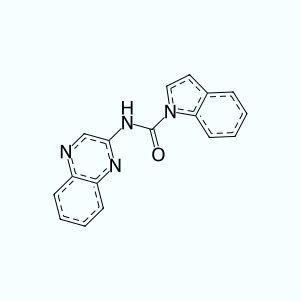 O=C(Nc1cnc2ccccc2n1)n1ccc2ccccc21